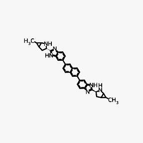 CC1C2C[C@@H](c3nc4ccc(-c5ccc6cc(-c7ccc8nc([C@@H]9CC%10C(C)C%10N9)[nH]c8c7)ccc6c5)cc4[nH]3)NC12